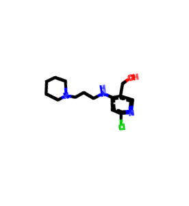 OCc1cnc(Cl)cc1NCCCN1CCCCC1